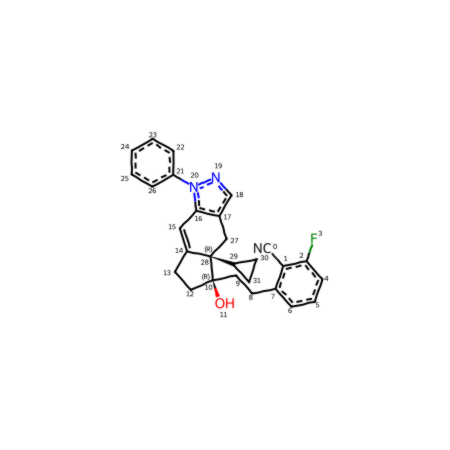 N#Cc1c(F)cccc1CC[C@]1(O)CCC2=Cc3c(cnn3-c3ccccc3)C[C@@]21C1CC1